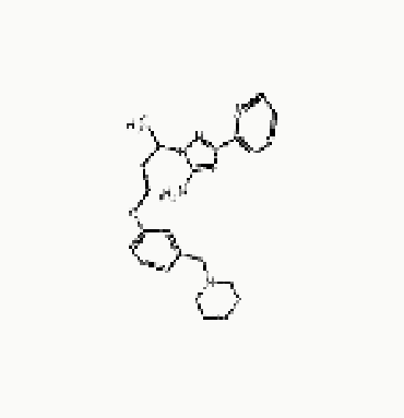 CC(CCOc1cccc(CN2CCCCC2)c1)n1nc(-c2ccccn2)nc1N